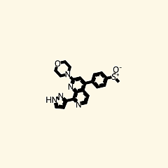 C[S+]([O-])c1ccc(-c2cc(N3CCOCC3)nc3c(-c4cc[nH]n4)nccc23)cc1